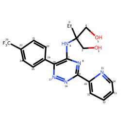 CCC(CO)(CO)Nc1nc(-c2ccccn2)nnc1-c1ccc(C(F)(F)F)cc1